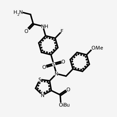 COc1ccc(CN(c2scnc2C(=O)OCC(C)C)S(=O)(=O)c2ccc(NC(=O)CN)c(F)c2)cc1